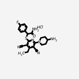 CCc1c(C#N)c(SC(C(N)=O)c2ccc(F)cc2)nc(N2CCC(N)CC2)c1C#N.Cl